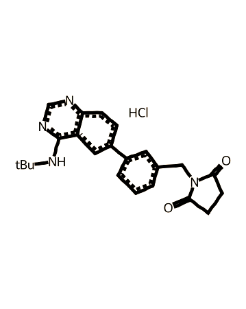 CC(C)(C)Nc1ncnc2ccc(-c3cccc(CN4C(=O)CCC4=O)c3)cc12.Cl